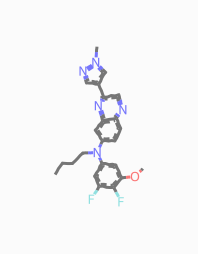 CCCCN(c1cc(F)c(F)c(OC)c1)c1ccc2ncc(-c3cnn(C)c3)nc2c1